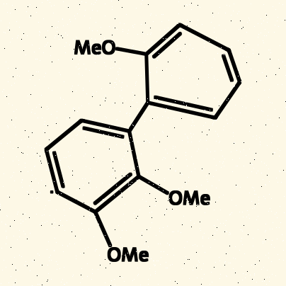 COc1[c]ccc(-c2ccccc2OC)c1OC